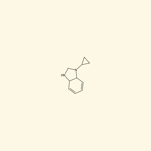 [C]1NC2C=CC=CC2N1C1CC1